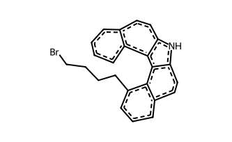 BrCCCCc1cccc2ccc3[nH]c4ccc5ccccc5c4c3c12